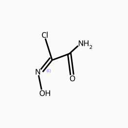 NC(=O)/C(Cl)=N\O